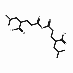 CC(C)CC(CCC(=O)OC(=O)CCC(CC(C)C)C(=O)O)C(=O)O